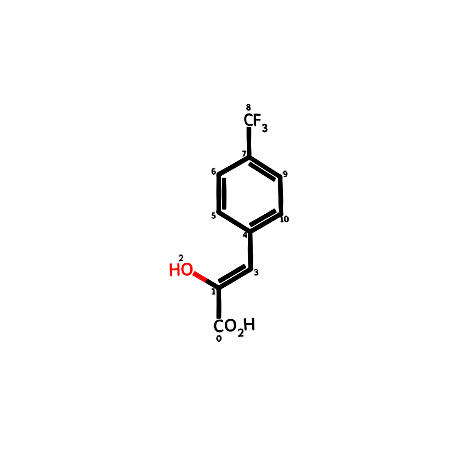 O=C(O)C(O)=Cc1ccc(C(F)(F)F)cc1